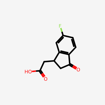 O=C(O)CC1CC(=O)c2ccc(F)cc21